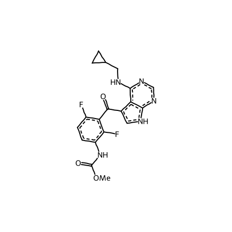 COC(=O)Nc1ccc(F)c(C(=O)c2c[nH]c3ncnc(NCC4CC4)c23)c1F